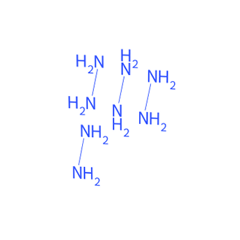 NN.NN.NN.NN